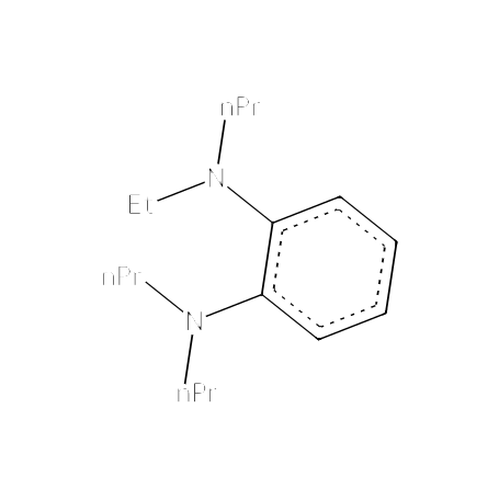 CCCN(CC)c1ccccc1N(CCC)CCC